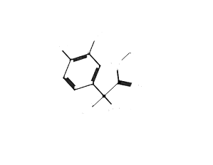 CCCc1cc(C(Br)(C(=O)O)C(=O)OC(C)CC)ccc1CC